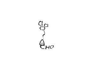 O=[C]OCC=Cc1ccc(Cl)c(Cl)c1